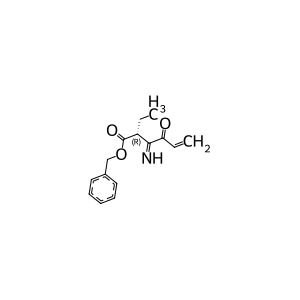 C=CC(=O)C(=N)[C@@H](CC)C(=O)OCc1ccccc1